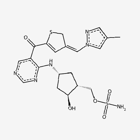 Cc1cnn(C=C2C=C(C(=O)c3cncnc3N[C@@H]3C[C@H](COS(N)(=O)=O)[C@@H](O)C3)SC2)c1